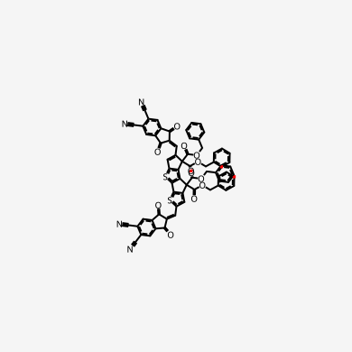 N#Cc1cc2c(cc1C#N)C(=O)C(=CC1=Cc3sc4c(c3C1(C(=O)OCc1ccccc1)C(=O)OCc1ccccc1)C(C(=O)OCc1ccccc1)(C(=O)OCc1ccccc1)c1cc(C=C3C(=O)c5cc(C#N)c(C#N)cc5C3=O)sc1-4)C2=O